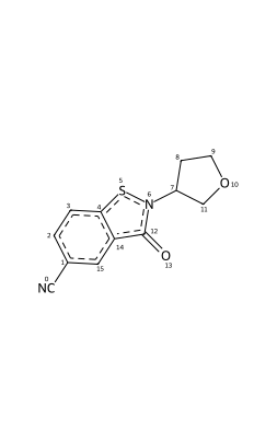 N#Cc1ccc2sn(C3CCOC3)c(=O)c2c1